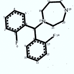 Fc1ccccc1C(c1ccccc1F)N1CCC[N]CC1